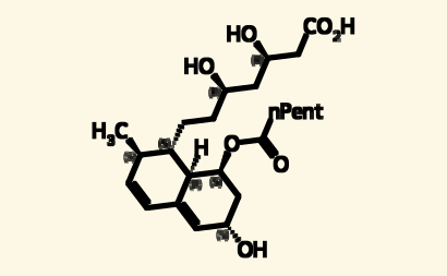 CCCCCC(=O)O[C@H]1C[C@H](O)C=C2C=C[C@@H](C)[C@H](CC[C@@H](O)C[C@@H](O)CC(=O)O)[C@H]21